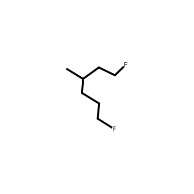 CC(CCF)CCCF